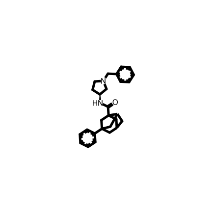 O=C(N[C@H]1CCN(Cc2ccccc2)C1)C12CC3CC1CC(c1ccccc1)(C3)C2